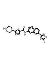 Cc1nnc(-c2ccc3nnc(NC(=O)c4coc(C5CCNCC5)n4)cc3c2)s1